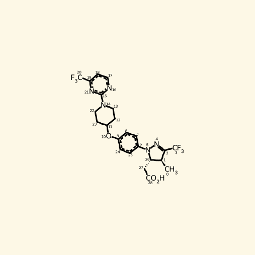 C[C@@H]1C(C(F)(F)F)=NN(c2ccc(OC3CCN(c4nccc(C(F)(F)F)n4)CC3)cc2)[C@H]1CC(=O)O